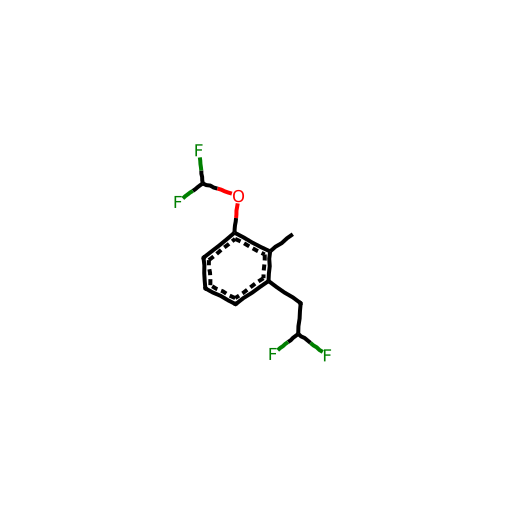 Cc1c(CC(F)F)cccc1OC(F)F